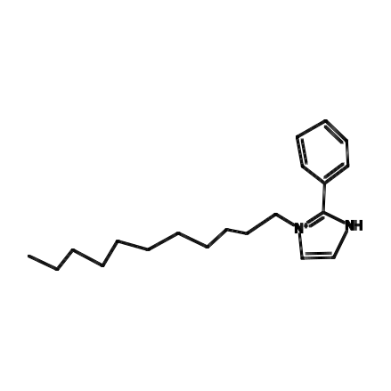 CCCCCCCCCCC[n+]1cc[nH]c1-c1ccccc1